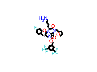 NCCCC[C@H]1C(=O)N(CC2CCCO2)C[C@@H]2N(C(=O)OCc3cc(C(F)(F)F)cc(C(F)(F)F)c3)C[C@H](Cc3ccc(F)cc3)C(=O)N21